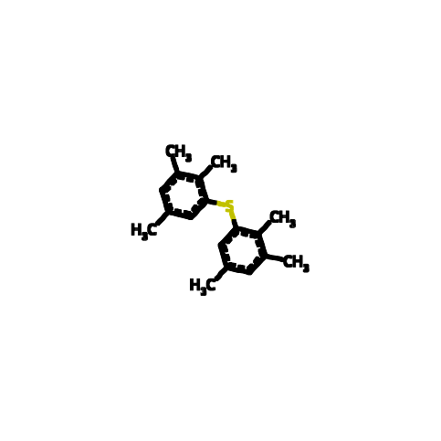 Cc1cc(C)c(C)c(Sc2cc(C)cc(C)c2C)c1